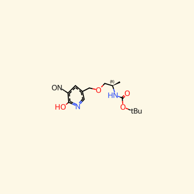 C[C@H](COCc1cnc(O)c(N=O)c1)NC(=O)OC(C)(C)C